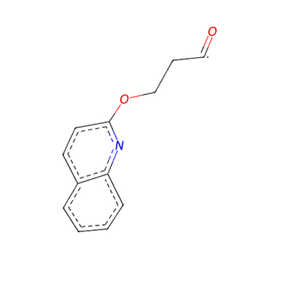 O=[C]CCOc1ccc2ccccc2n1